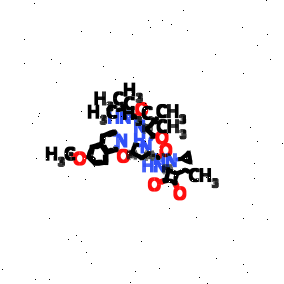 CCC1C(=O)C(=O)[C@]1(NC(=O)[C@@H]1C[C@@H](Oc2nccc3cc(OC)ccc23)CN1C(=O)[C@@H](NC(=O)NC(C)(C)C)C(C)(C)C)NC1CC1